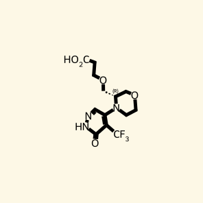 O=C(O)CCOC[C@@H]1COCCN1c1cn[nH]c(=O)c1C(F)(F)F